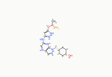 CC(P)Oc1cc(Nc2cnc3cnn(C[C@H]4CC[C@@H](O)CC4)c3n2)n[nH]1